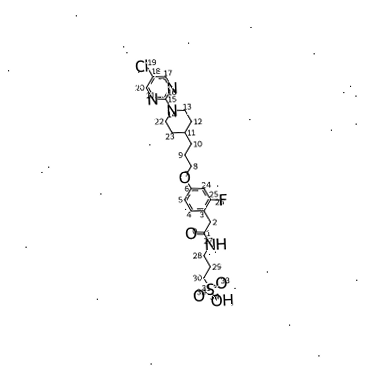 O=C(Cc1ccc(OCCCC2CCN(c3ncc(Cl)cn3)CC2)cc1F)NCCCS(=O)(=O)O